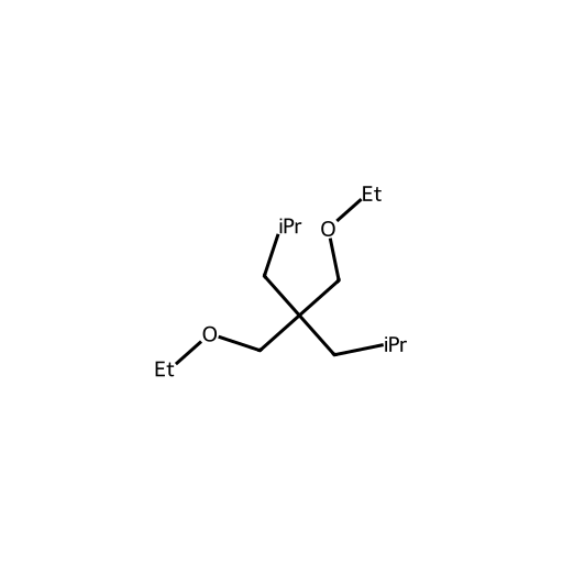 CCOCC(COCC)(CC(C)C)CC(C)C